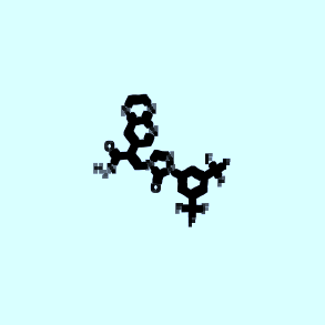 NC(=O)/C(=C/n1cnn(-c2cc(C(F)(F)F)cc(C(F)(F)F)c2)c1=O)c1cnc2nccnc2c1